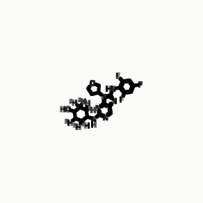 [2H]C1C(O)C([2H])([2H])C([2H])([2H])C(Nc2ncc3nc(Nc4c(F)cc(F)cc4F)n(C4CCOC4)c3n2)C1([2H])[2H]